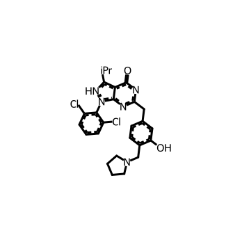 CC(C)c1[nH]n(-c2c(Cl)cccc2Cl)c2nc(Cc3ccc(CN4CCCC4)c(O)c3)nc(=O)c1-2